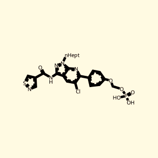 CCCCCCCn1nc(NC(=O)c2cnsc2)c2cc(Cl)c(-c3ccc(OCOP(=O)(O)O)cc3)nc21